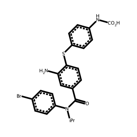 CC(C)N(C(=O)c1ccc(Sc2ccc(NC(=O)O)cc2)c(N)c1)c1ccc(Br)cc1